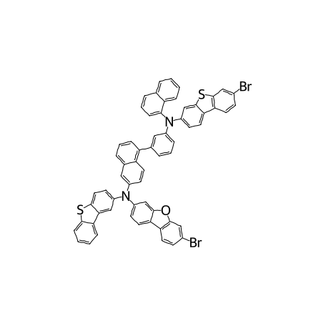 Brc1ccc2c(c1)oc1cc(N(c3ccc4c(-c5cccc(N(c6ccc7c(c6)sc6cc(Br)ccc67)c6cccc7ccccc67)c5)cccc4c3)c3ccc4sc5ccccc5c4c3)ccc12